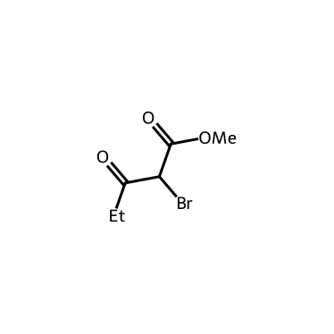 CCC(=O)C(Br)C(=O)OC